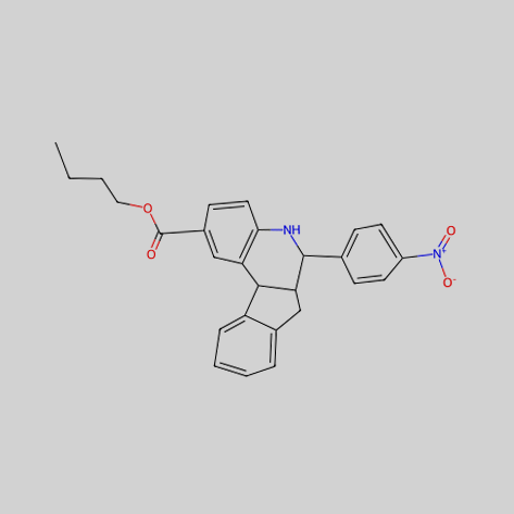 CCCCOC(=O)c1ccc2c(c1)C1c3ccccc3CC1C(c1ccc([N+](=O)[O-])cc1)N2